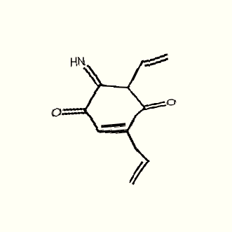 C=CC1=CC(=O)C(=N)C(C=C)C1=O